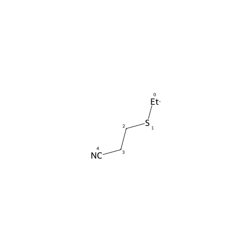 C[CH]SCCC#N